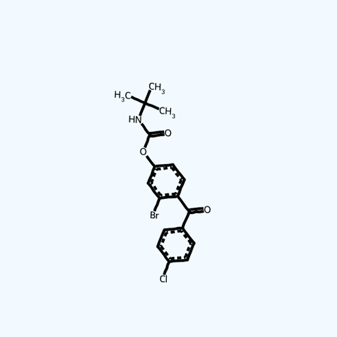 CC(C)(C)NC(=O)Oc1ccc(C(=O)c2ccc(Cl)cc2)c(Br)c1